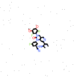 C/C=C(\C(C)=N)c1cc2c(cn1)CN(c1c(F)c(OC)cc(OC)c1F)C(=O)N2c1cc(F)cc(C#N)c1